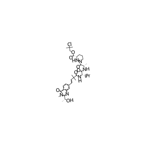 CC(C)[C@H](NC(=O)C(C)(C)/C=C/c1ccc2c(=O)n(C)c([C@@H](C)O)nc2c1)C(=O)N[C@@H](C)C(=O)N1CCC[C@@H](C(=O)OCC(C)(C)Cl)N1